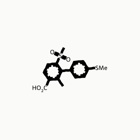 CSc1ccc(-c2c(S(C)(=O)=O)ccc(C(=O)O)c2C)cc1